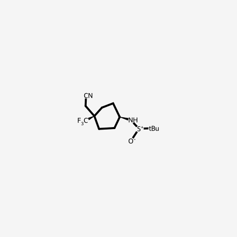 CC(C)(C)[S+]([O-])N[C@H]1CC[C@@](CC#N)(C(F)(F)F)CC1